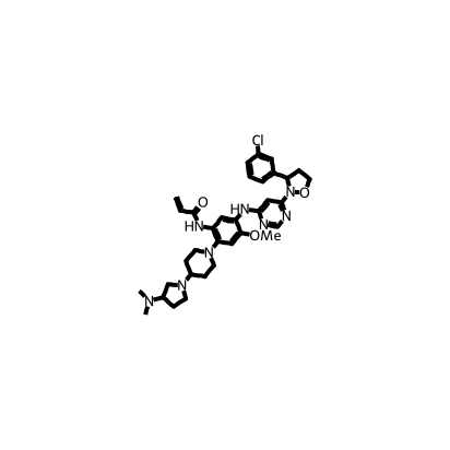 C=CC(=O)Nc1cc(Nc2cc(N3OCCC3c3cccc(Cl)c3)ncn2)c(OC)cc1N1CCC(N2CCC(N(C)C)C2)CC1